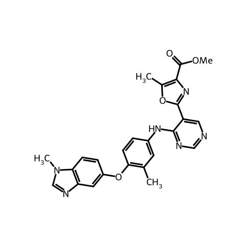 COC(=O)c1nc(-c2cncnc2Nc2ccc(Oc3ccc4c(c3)ncn4C)c(C)c2)oc1C